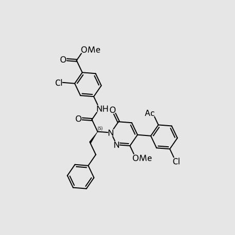 COC(=O)c1ccc(NC(=O)[C@H](CCc2ccccc2)n2nc(OC)c(-c3cc(Cl)ccc3C(C)=O)cc2=O)cc1Cl